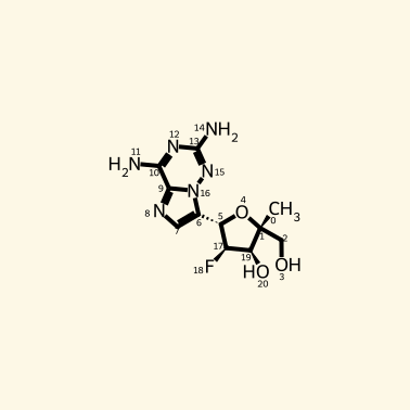 C[C@]1(CO)O[C@@H](c2cnc3c(N)nc(N)nn23)[C@H](F)[C@@H]1O